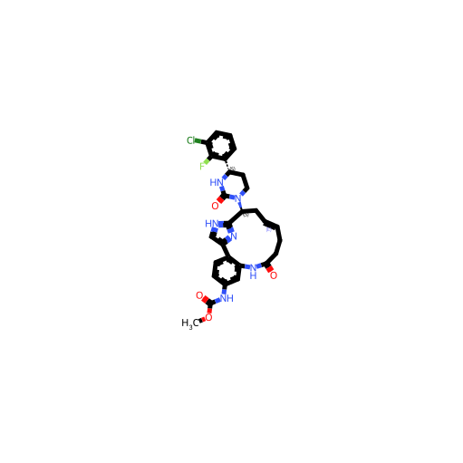 COC(=O)Nc1ccc2c(c1)NC(=O)CC/C=C/C[C@H](N1CC[C@@H](c3cccc(Cl)c3F)NC1=O)c1nc-2c[nH]1